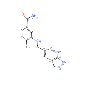 Cc1ccc(C(N)=O)cc1NCc1cnc2[nH]ncc2c1